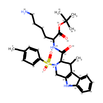 Cc1ccc(S(=O)(=O)N2Cc3[nH]c4ccccc4c3C(C)C2C(=O)NC(CCCCN)C(=O)OC(C)(C)C)cc1